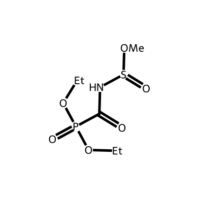 CCOP(=O)(OCC)C(=O)NS(=O)OC